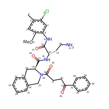 COc1cc(C)c(Cl)cc1NC(=O)[C@H](CCN)NC(=O)[C@@H]1Cc2ccccc2CN1C(=O)CCC(=O)c1ccccc1